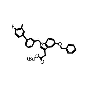 Cc1cc(-c2cccc(Cn3cc(CC(=O)OC(C)(C)C)c4cc(OCc5ccccc5)ccc43)c2)ccc1F